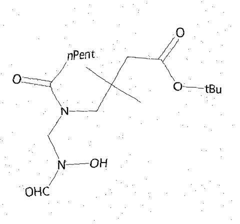 CCCCCC(=O)N(CN(O)C=O)CC(C)(C)CC(=O)OC(C)(C)C